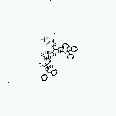 C=C(ON=C(C(=O)NC1C(=O)N2CC(CCl)(C(=O)OC(c3ccccc3)c3ccccc3)CS[C@H]12)c1csc(NC(c2ccccc2)(c2ccccc2)c2ccccc2)n1)C(=O)OC(C)(C)C